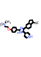 CN(C)CCOc1ccc(-c2n/c(=c3/ccc4c(c3)CCC=4N=O)c(=C3C=CNC=C3)[nH]2)cc1